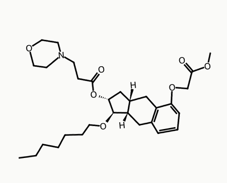 CCCCCCCO[C@@H]1[C@H]2Cc3cccc(OCC(=O)OC)c3C[C@H]2C[C@H]1OC(=O)CCN1CCOCC1